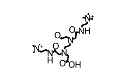 C[N+](C)(C)CCNC(=O)CN(CC=O)CCN(CC(=O)O)CC(=O)NCC[N+](C)(C)C